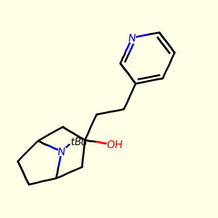 CC(C)(C)N1C2CCC1CC(O)(CCc1cccnc1)C2